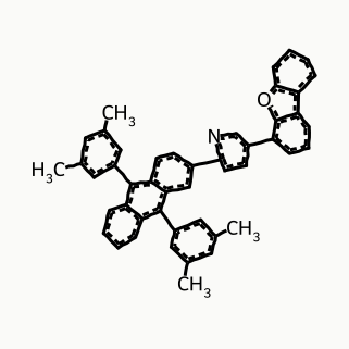 Cc1cc(C)cc(-c2c3ccccc3c(-c3cc(C)cc(C)c3)c3cc(-c4ccc(-c5cccc6c5oc5ccccc56)cn4)ccc23)c1